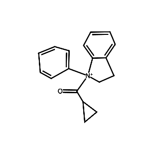 O=C(C1CC1)[N+]1(c2ccccc2)CCc2ccccc21